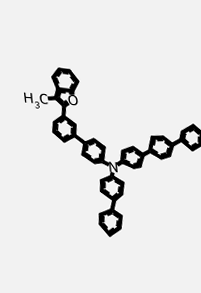 Cc1c(-c2cccc(-c3ccc(N(c4ccc(-c5ccccc5)cc4)c4ccc(-c5ccc(-c6ccccc6)cc5)cc4)cc3)c2)oc2ccccc12